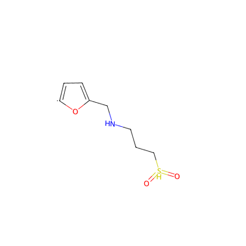 O=[SH](=O)CCCNCc1cc[c]o1